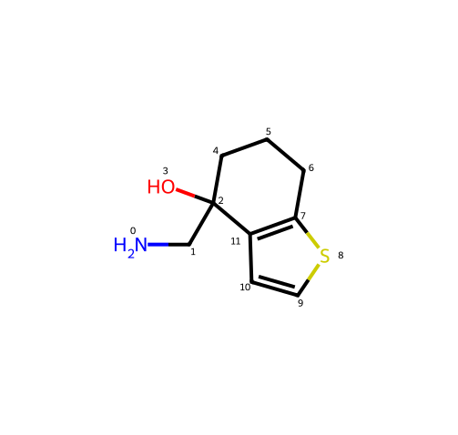 NCC1(O)CCCc2sccc21